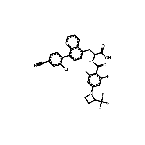 N#Cc1ccc(-c2ccc(CC(NC(=O)c3c(F)cc(N4CCC4C(F)(F)F)cc3F)C(=O)O)c3cccnc23)c(Cl)c1